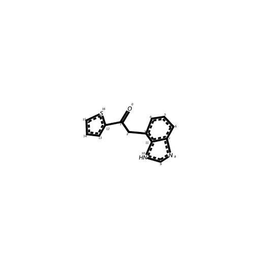 O=C(Cc1cccc2nc[nH]c12)c1cccs1